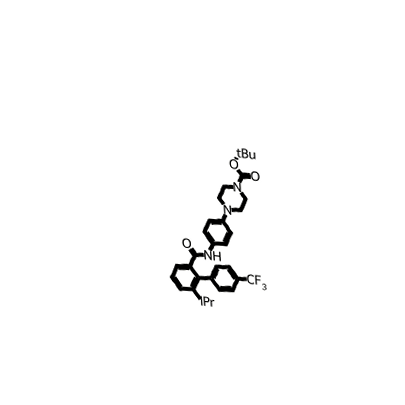 CC(C)c1cccc(C(=O)Nc2ccc(N3CCN(C(=O)OC(C)(C)C)CC3)cc2)c1-c1ccc(C(F)(F)F)cc1